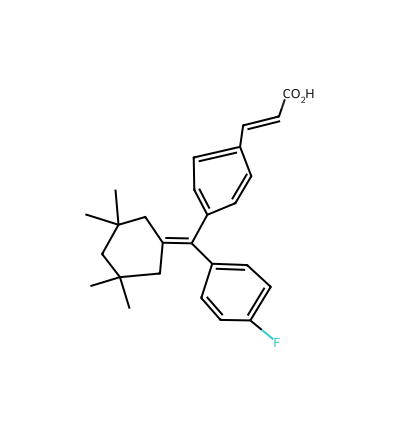 CC1(C)CC(=C(c2ccc(F)cc2)c2ccc(C=CC(=O)O)cc2)CC(C)(C)C1